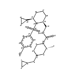 C[C@@H]1CN(CC2CC2)CCN1C(=O)OC[C@@H]1CCC[C@H](C2CC2)N1S(=O)(=O)c1ccc(Cl)cc1